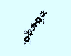 COc1cc(-c2cn(C[C@H]3CN(c4ccc(Br)c(F)c4)C(=O)O3)nn2)ccc1-n1cnc(C)c1